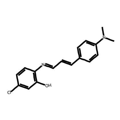 CN(C)c1ccc(/C=C/C=N/c2ccc(Cl)cc2O)cc1